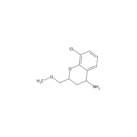 COCC1CC(N)c2cccc(Cl)c2O1